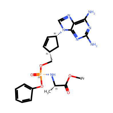 CC(C)OC(=O)[C@H](C)N[P@](=O)(OC[C@@H]1C=C[C@H](n2cnc3c(N)nc(N)nc32)C1)Oc1ccccc1